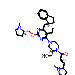 CN1CCCC1/C=C/C(=O)N1CCN(c2nc(OC[C@@H]3CCCN3C)nc3c2CC[C@]2(CCc4ccccc42)C3)C[C@@H]1CC#N